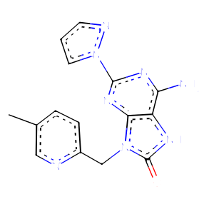 Cc1ccc(Cn2c(=O)[nH]c3c(N)nc(-n4cccn4)nc32)nc1